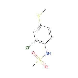 CSc1ccc(NS(C)(=O)=O)c(Cl)c1